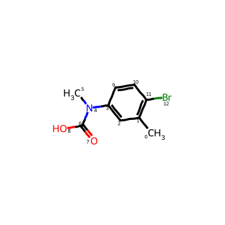 Cc1cc(N(C)C(=O)O)ccc1Br